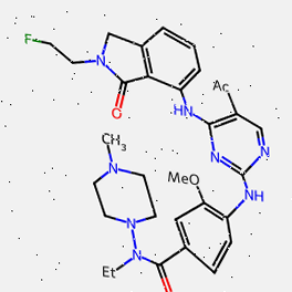 CCN(C(=O)c1ccc(Nc2ncc(C(C)=O)c(Nc3cccc4c3C(=O)N(CCF)C4)n2)c(OC)c1)N1CCN(C)CC1